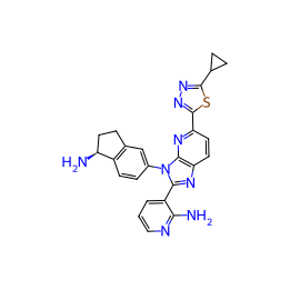 Nc1ncccc1-c1nc2ccc(-c3nnc(C4CC4)s3)nc2n1-c1ccc2c(c1)CC[C@@H]2N